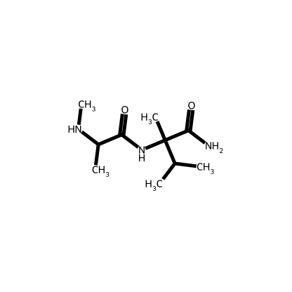 CNC(C)C(=O)NC(C)(C(N)=O)C(C)C